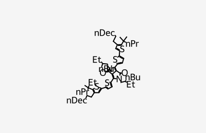 CCCCCCCCCCCCc1cc(-c2ccc(C3=C4C(=O)N(CC(CC)CCCC)C(c5ccc(-c6cc(CCCCCCCCCCCC)c(C(C)(CC)CCC)s6)s5)=C4C(=O)N3CC(CC)CCCC)s2)sc1C(C)(C)CCC